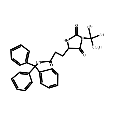 CCCC(S)(C(=O)O)N1C(=O)NC(CCC(=O)NC(c2ccccc2)(c2ccccc2)c2ccccc2)C1=O